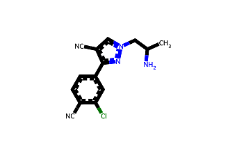 CC(N)Cn1cc(C#N)c(-c2ccc(C#N)c(Cl)c2)n1